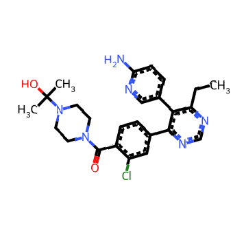 CCc1ncnc(-c2ccc(C(=O)N3CCN(C(C)(C)O)CC3)c(Cl)c2)c1-c1ccc(N)nc1